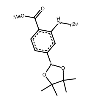 CCCCNc1cc(B2OC(C)(C)C(C)(C)O2)ccc1C(=O)OC